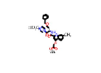 CCOC(=O)N1CCN(C(=O)[C@H](CCOCc2ccccc2)NC(=O)c2cc(OCC(=O)OC(C)(C)C)c3ccc(C)cc3n2)CC1